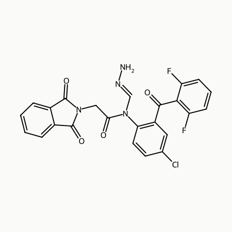 NN=CN(C(=O)CN1C(=O)c2ccccc2C1=O)c1ccc(Cl)cc1C(=O)c1c(F)cccc1F